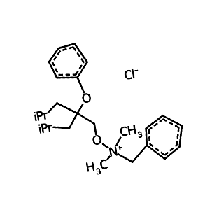 CC(C)CC(CO[N+](C)(C)Cc1ccccc1)(CC(C)C)Oc1ccccc1.[Cl-]